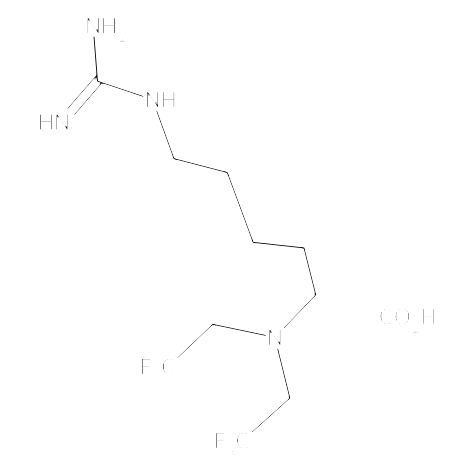 N=C(N)NCCCC[C@H](C(=O)O)N(CC(F)(F)F)CC(F)(F)F